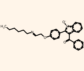 CCCCCCN=CCOc1ccc(-c2c(C(=O)c3ccccc3)c3ccccc3[s+]2[O-])cc1